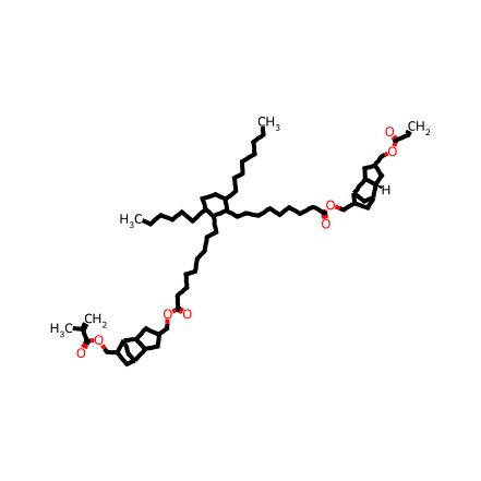 C=CC(=O)OCC1CC2C3CC(CC3COC(=O)CCCCCCCCC3C(CCCCCCCC)CCC(CCCCCC)C3CCCCCCCCC(=O)OCC3CC4C5CC(COC(=O)C(=C)C)C(C5)C4C3)[C@H]2C1